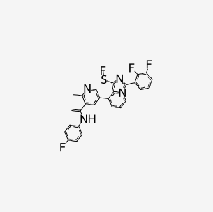 C=C(Nc1ccc(F)cc1)c1cc(-c2cccn3c(-c4cccc(F)c4F)nc(SF)c23)cnc1C